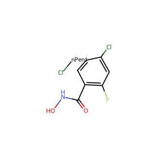 CCCCCCl.O=C(NO)c1ccc(Cl)cc1F